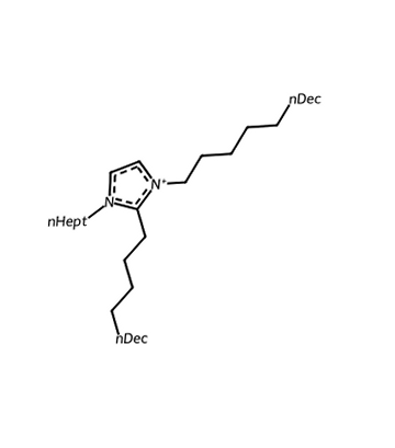 CCCCCCCCCCCCCCC[n+]1ccn(CCCCCCC)c1CCCCCCCCCCCCCC